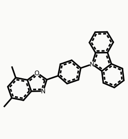 Cc1cc(C)c2oc(-c3ccc(-n4c5ccccc5c5ccccc54)cc3)nc2c1